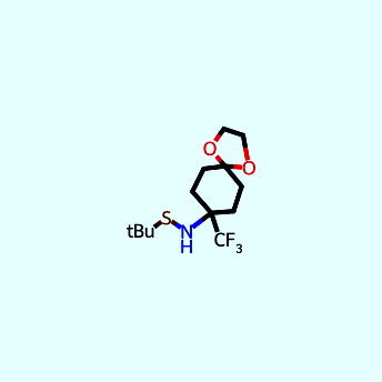 CC(C)(C)SNC1(C(F)(F)F)CCC2(CC1)OCCO2